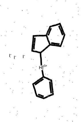 C1=C[CH]([Hf+3][c]2ccccc2)c2ccccc21.[I-].[I-].[I-]